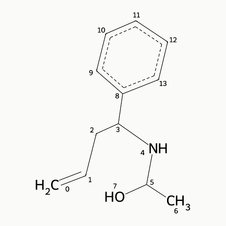 C=CCC(NC(C)O)c1ccccc1